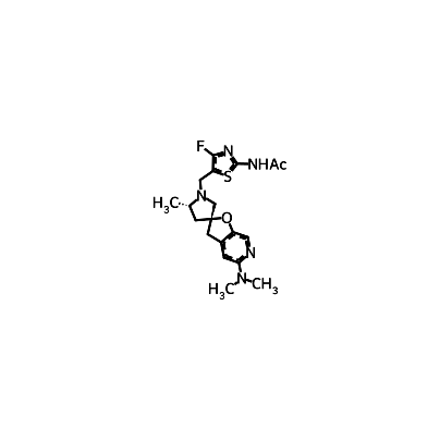 CC(=O)Nc1nc(F)c(CN2C[C@@]3(Cc4cc(N(C)C)ncc4O3)C[C@@H]2C)s1